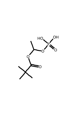 CC(OC(=O)C(C)(C)C)OP(=O)(O)O